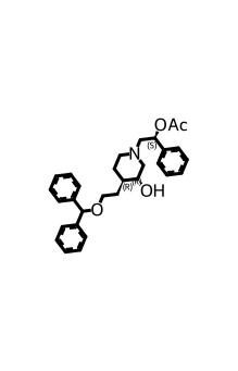 CC(=O)O[C@H](CN1CC[C@H](CCOC(c2ccccc2)c2ccccc2)[C@@H](O)C1)c1ccccc1